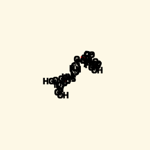 COc1cccc(OC)c1-c1cc(C(=O)NC2(C(=O)O)C3CC4CC(C3)CC2C4)nn1-c1ccc(C(=O)N2CCCN3CCN(CCCN(C(=S)Nc4ccc(CC5CN(CC(=O)O)CCN(CC(=O)O)CCN5CC(=O)O)cc4)CC3)CC2)cc1C(C)C